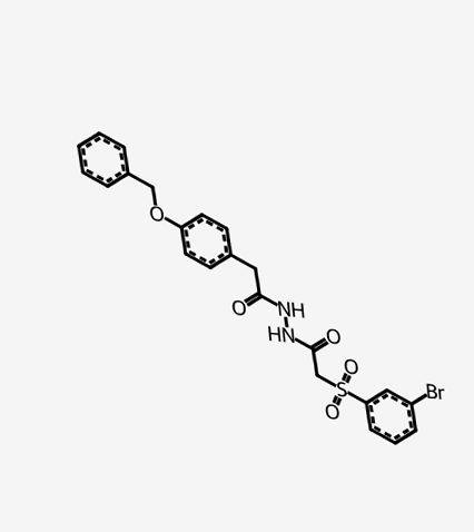 O=C(Cc1ccc(OCc2ccccc2)cc1)NNC(=O)CS(=O)(=O)c1cccc(Br)c1